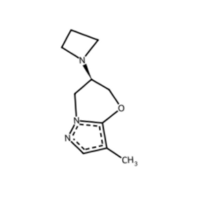 Cc1cnn2c1OC[C@H](N1CCC1)C2